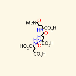 CNC(=O)CC[C@H](NC(=O)CC[C@H](NC(=O)N[C@@H](CCC(=O)O)C(=O)O)C(=O)O)C(=O)O